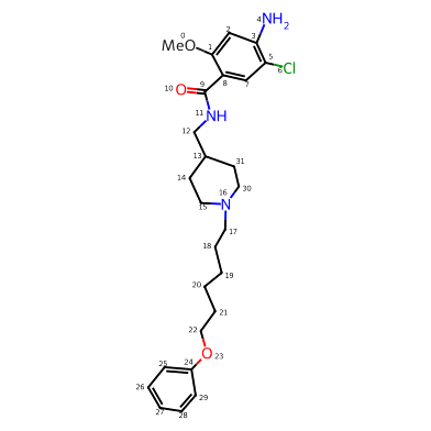 COc1cc(N)c(Cl)cc1C(=O)NCC1CCN(CCCCCCOc2ccccc2)CC1